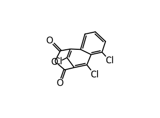 O=C1OC(=O)c2c(Cl)c1c(Cl)c1c(Cl)cccc21